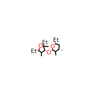 CC[C@@H]1C[C@H](C)C(C)[C@H](O[C@@H]2C(C)[C@H](CC)OC2(C)CC)O1